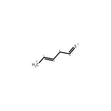 CC=CC[C]=S